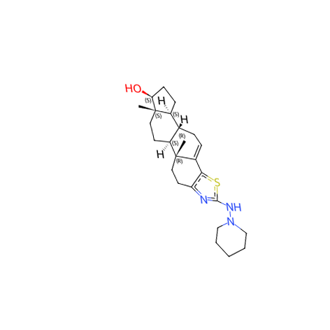 C[C@]12CC[C@H]3[C@@H](CC=C4c5sc(NN6CCCCC6)nc5CC[C@@]43C)[C@@H]1CC[C@@H]2O